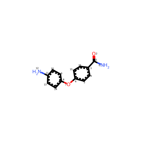 NC(=O)c1ccc(Oc2ccc(N)cc2)cc1